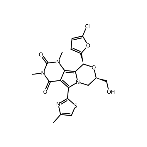 Cc1csc(-c2c3c(=O)n(C)c(=O)n(C)c3c3n2C[C@H](CO)O[C@@H]3c2ccc(Cl)o2)n1